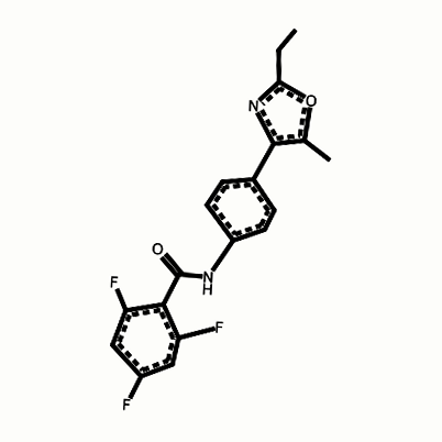 CCc1nc(-c2ccc(NC(=O)c3c(F)cc(F)cc3F)cc2)c(C)o1